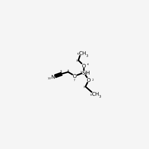 CCO[SiH](OCC)OCC#N